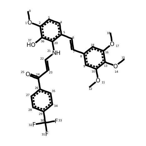 COc1ccc(C=Cc2cc(OC)c(OC)c(OC)c2)c(NC=CC(=O)c2ccc(C(F)(F)F)cc2)c1O